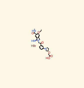 Br.CCOc1cc2c(cc1C(=O)NC)C(=N)N(CC(=O)c1cccc(N3CCC(OCC(=O)O)C3)c1)C2